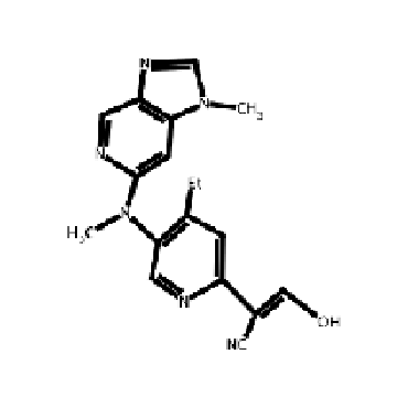 CCc1cc(C(C#N)=CO)ncc1N(C)c1cc2c(cn1)ncn2C